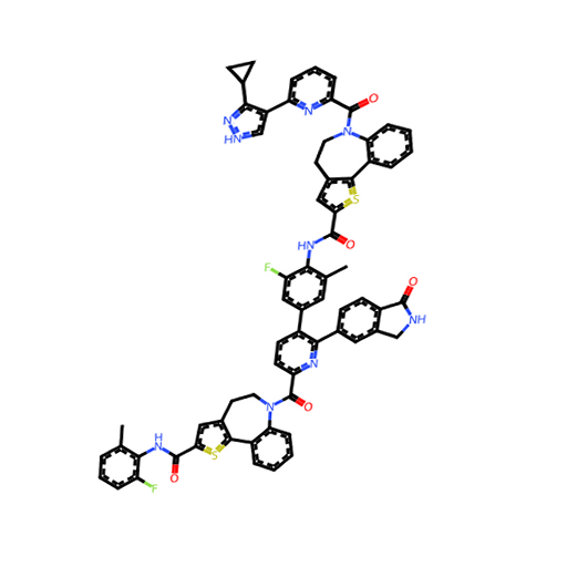 Cc1cc(-c2ccc(C(=O)N3CCc4cc(C(=O)Nc5c(C)cccc5F)sc4-c4ccccc43)nc2-c2ccc3c(c2)CNC3=O)cc(F)c1NC(=O)c1cc2c(s1)-c1ccccc1N(C(=O)c1cccc(-c3c[nH]nc3C3CC3)n1)CC2